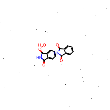 O.O=C1NC(=O)c2ccccc21.O=C1NC(=O)c2ccccc21